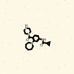 O=C(Nc1ccc(C(=O)N2CCNCC2)c(N2CCCCCC2)c1)C1CC1